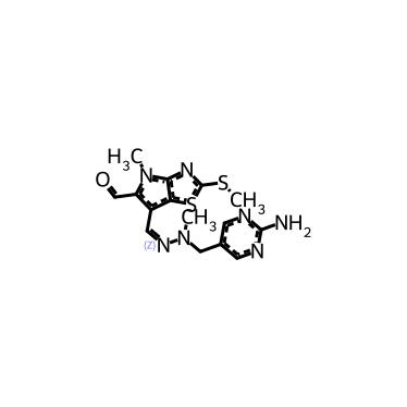 CSc1nc2c(s1)c(/C=N\N(C)Cc1cnc(N)nc1)c(C=O)n2C